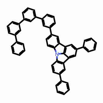 c1ccc(-c2cccc(-c3cccc(-c4cccc(-c5ccc6c(c5)c5cc(-c7ccccc7)cc7c8cc(-c9ccccc9)ccc8n6c75)c4)c3)c2)cc1